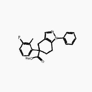 COC(=O)C1(c2cccc(F)c2C)CCc2c(cnn2-c2ccccc2)C1